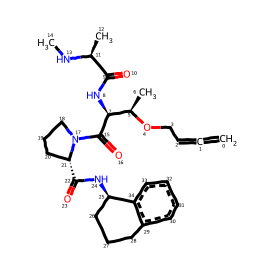 C=C=CCO[C@H](C)[C@H](NC(=O)[C@H](C)NC)C(=O)N1CCC[C@H]1C(=O)N[C@@H]1CCCc2ccccc21